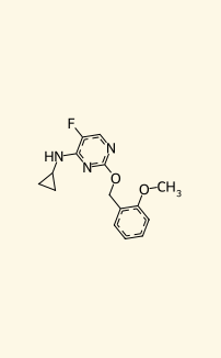 COc1ccccc1COc1ncc(F)c(NC2CC2)n1